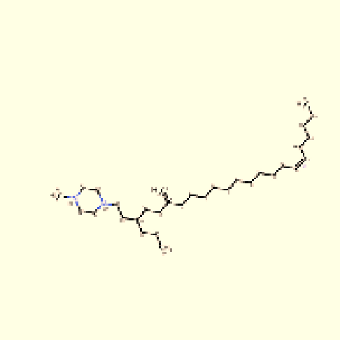 C=C(CCCCCCCCCC/C=C\CCCCC)CCC(CCC)CCN1CCN(C)CC1